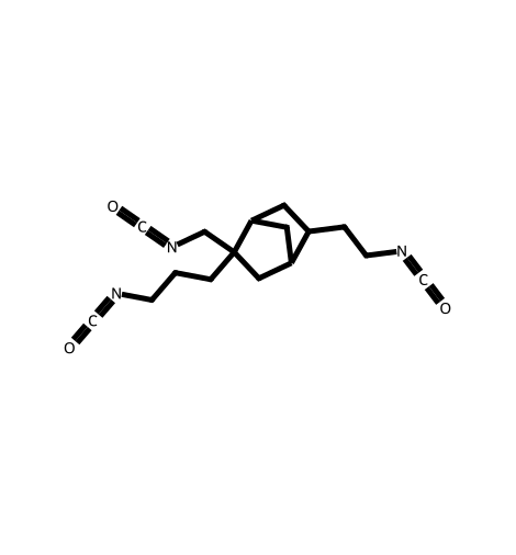 O=C=NCCCC1(CN=C=O)CC2CC1CC2CCN=C=O